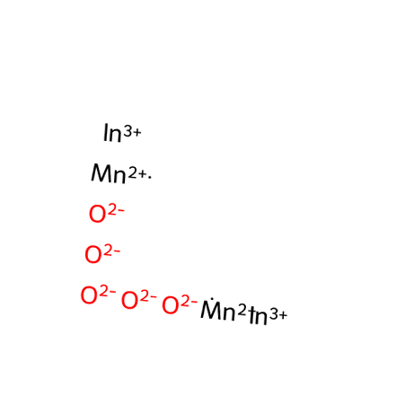 [In+3].[In+3].[Mn+2].[Mn+2].[O-2].[O-2].[O-2].[O-2].[O-2]